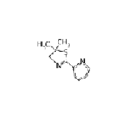 CC1(C)CN=C(c2ccccn2)S1